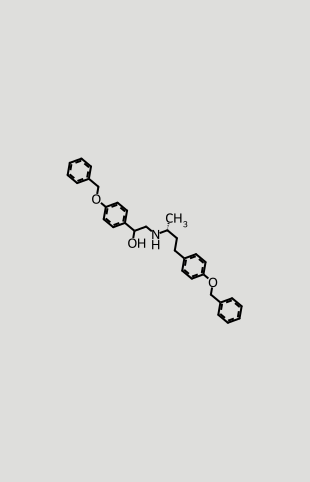 C[C@H](CCc1ccc(OCc2ccccc2)cc1)NCC(O)c1ccc(OCc2ccccc2)cc1